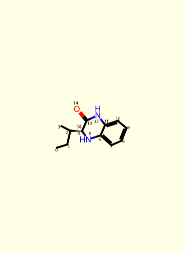 CCC(C)[C@@H]1Nc2ccccc2NC1=O